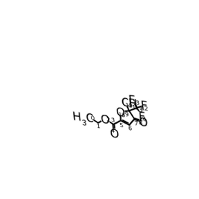 CCOC(=O)C1=CC(=O)C(C)(C(F)(F)F)O1